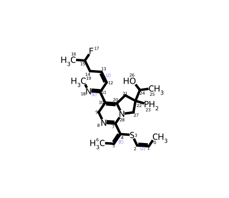 C/C=C\S/C(=C/C)C1=NCC(C(/C=C\CC(C)F)=N/C)=C2CC(P)(C(C)O)CN12